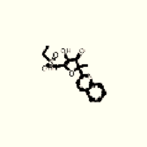 CCS(=O)(=O)NC1=C(O)C(=O)C(C)(c2ccc3ccccc3n2)O1